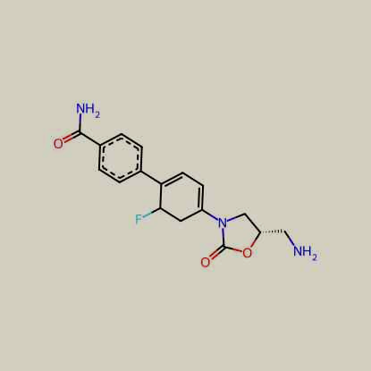 NC[C@H]1CN(C2=CC=C(c3ccc(C(N)=O)cc3)C(F)C2)C(=O)O1